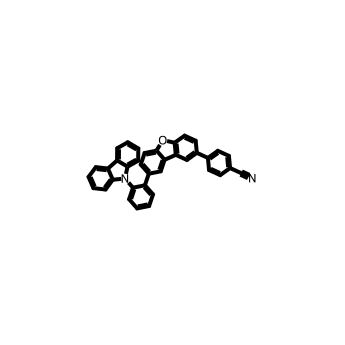 N#Cc1ccc(-c2ccc3oc4ccc(-c5ccccc5-n5c6ccccc6c6ccccc65)cc4c3c2)cc1